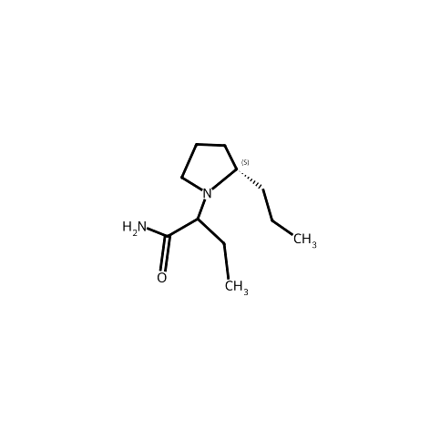 CCC[C@H]1CCCN1C(CC)C(N)=O